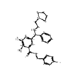 O=C(NCc1ccc(F)cc1)c1nc(C(NCCN2CCCC2)c2ccccc2)nc(O)c1O